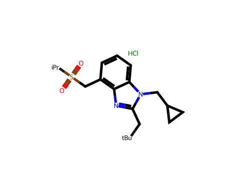 CC(C)S(=O)(=O)Cc1cccc2c1nc(CC(C)(C)C)n2CC1CC1.Cl